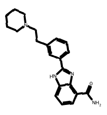 NC(=O)c1cccc2[nH]c(-c3cccc(CCN4CCCCC4)c3)nc12